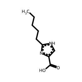 CCCCCc1nc(C(=O)O)c[nH]1